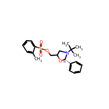 Cc1ccccc1S(=O)(=O)OCC1CN(C(C)(C)C)[C@H](c2ccccc2)O1